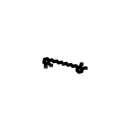 CCc1cccc(CCCCCOCCCCCc2cccc(CC)c2CC)c1CC